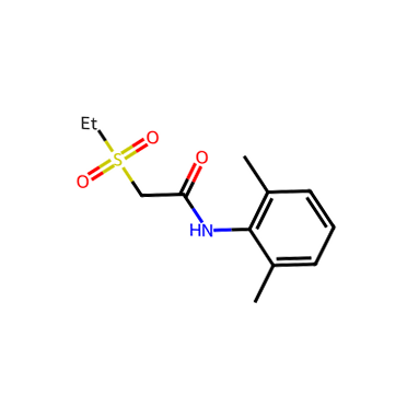 CCS(=O)(=O)CC(=O)Nc1c(C)cccc1C